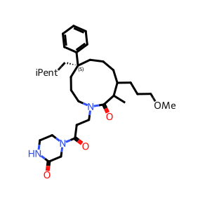 CCCC(C)C[C@]1(c2ccccc2)CCCC(CCCOC)C(C)C(=O)N(CCC(=O)N2CCNC(=O)C2)CCC1